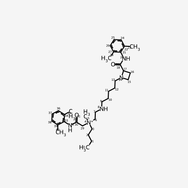 CCCC[N+](C)(CCNCCCCCN1CCC1C(=O)Nc1c(C)cccc1C)CC(=O)Nc1c(C)cccc1C